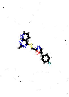 Cc1nc(SCc2ncc(-c3ccc(F)cc3)o2)c2cccnc2n1